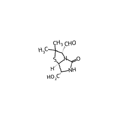 CC1(C)S[C@@H]2[C@@H](C(=O)O)NC(=O)N2[C@H]1C=O